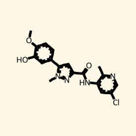 COc1ccc(-c2cc(C(=O)Nc3cc(Cl)cnc3C)nn2C)cc1O